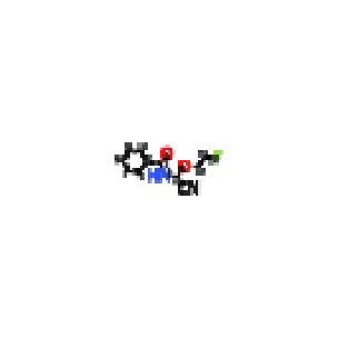 N#CC(NC(=O)c1ccccc1)OCCF